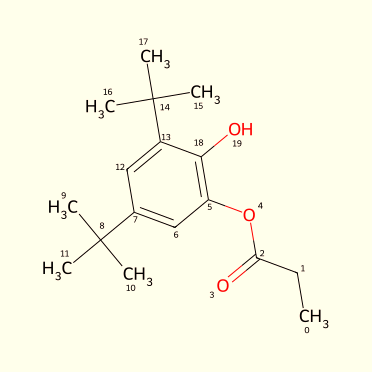 CCC(=O)Oc1cc(C(C)(C)C)cc(C(C)(C)C)c1O